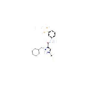 CS(=O)(=O)c1cccc(NC(=O)c2cc(C(F)(F)F)nn2CC2CCCCC2)c1